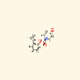 O=C1CCN(C(=O)Oc2ccccc2C2CC2)CC1